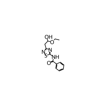 CCOC(O)Cc1nsc(NC(=O)c2ccccc2)n1